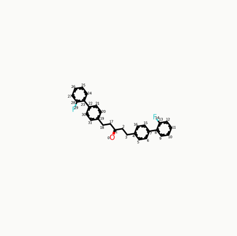 O=C(CCc1ccc(-c2ccccc2F)cc1)CCc1ccc(-c2ccccc2F)cc1